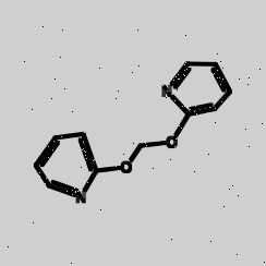 c1ccc(OCOc2ccccn2)nc1